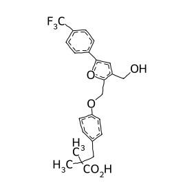 CC(C)(Cc1ccc(OCc2oc(-c3ccc(C(F)(F)F)cc3)cc2CO)cc1)C(=O)O